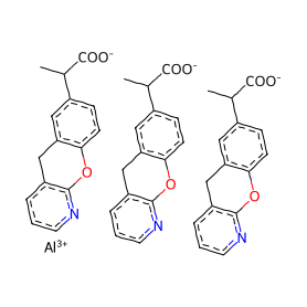 CC(C(=O)[O-])c1ccc2c(c1)Cc1cccnc1O2.CC(C(=O)[O-])c1ccc2c(c1)Cc1cccnc1O2.CC(C(=O)[O-])c1ccc2c(c1)Cc1cccnc1O2.[Al+3]